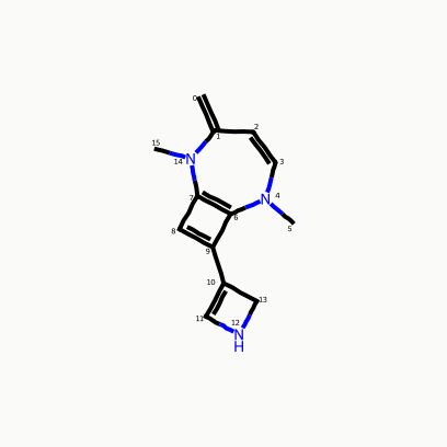 C=C1C=CN(C)C2=C(C=C2C2=CNC2)N1C